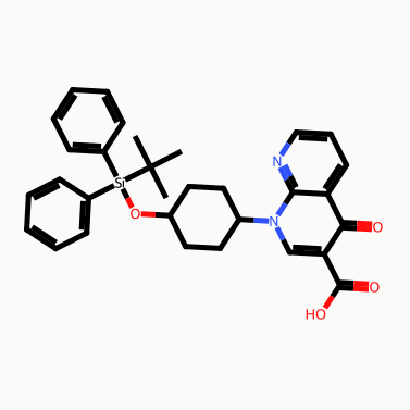 CC(C)(C)[Si](OC1CCC(n2cc(C(=O)O)c(=O)c3cccnc32)CC1)(c1ccccc1)c1ccccc1